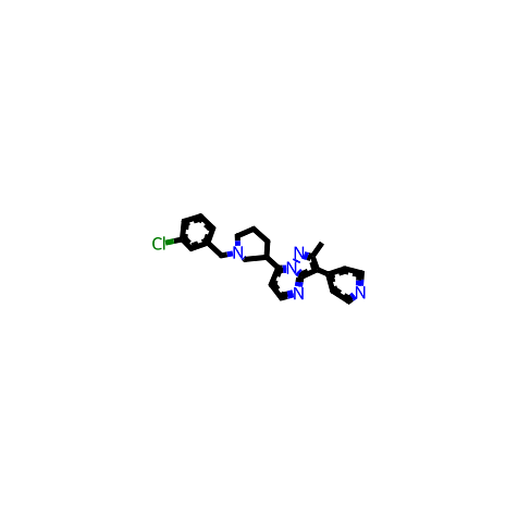 Cc1nn2c(C3CCCN(Cc4cccc(Cl)c4)C3)ccnc2c1-c1ccncc1